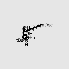 CCCCCCCCCCCCCCCCCCCC(O)C(CO)Cc1cc(C(C)(C)C)c(O)c(C(C)(C)C)c1